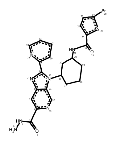 NNC(=O)c1cc2nc(-c3ccccn3)n(C3CCCC(NC(=O)c4ccc(Br)s4)C3)c2cn1